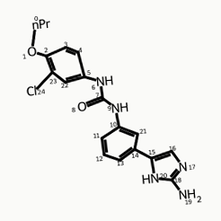 CCCOc1ccc(NC(=O)Nc2cccc(-c3cnc(N)[nH]3)c2)cc1Cl